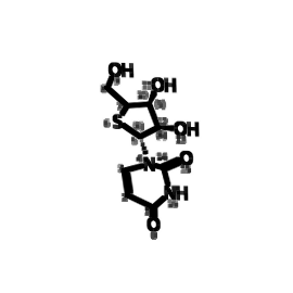 O=c1ccn([C@@H]2SC(CO)[C@@H](O)[C@H]2O)c(=O)[nH]1